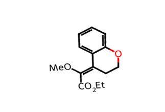 CCOC(=O)C(OC)=C1CCOc2ccccc21